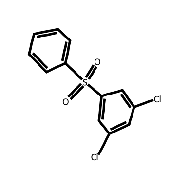 O=S(=O)(c1ccccc1)c1cc(Cl)cc(Cl)c1